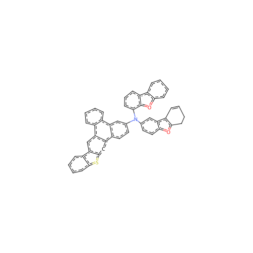 C1=Cc2c(oc3ccc(N(c4ccc5c(c4)c4ccccc4c4cc6c(cc54)sc4ccccc46)c4cccc5c4oc4ccccc45)cc23)CC1